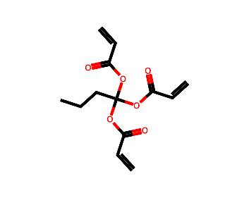 C=CC(=O)OC(CCC)(OC(=O)C=C)OC(=O)C=C